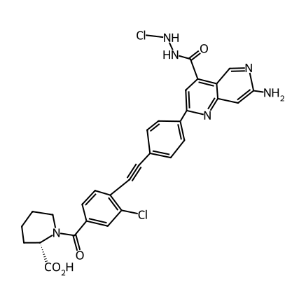 Nc1cc2nc(-c3ccc(C#Cc4ccc(C(=O)N5CCCC[C@H]5C(=O)O)cc4Cl)cc3)cc(C(=O)NNCl)c2cn1